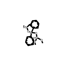 CO[SiH](OC)O[Si](O[SiH](C)C)(c1ccccc1)c1ccccc1